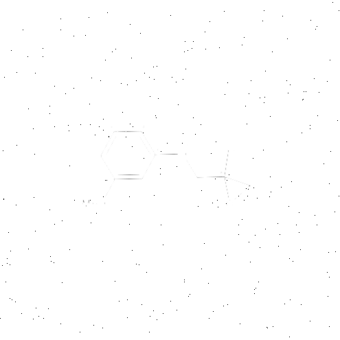 COc1cccc(OCC2(C)CO2)c1